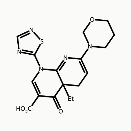 CCC12CC=C(N3CCCOC3)N=C1N(c1ncns1)C=C(C(=O)O)C2=O